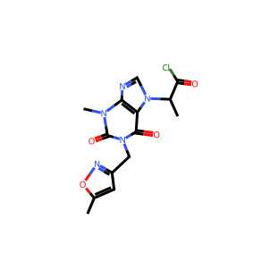 Cc1cc(Cn2c(=O)c3c(ncn3C(C)C(=O)Cl)n(C)c2=O)no1